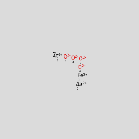 [Ba+2].[Fe+2].[O-2].[O-2].[O-2].[O-2].[Zr+4]